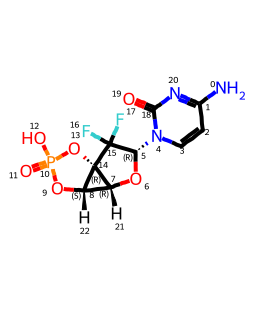 Nc1ccn([C@@H]2O[C@@H]3[C@@H]4OP(=O)(O)O[C@]34C2(F)F)c(=O)n1